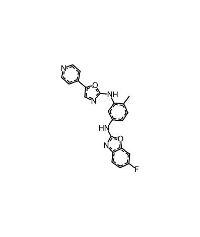 Cc1ccc(Nc2nc3ccc(F)cc3o2)cc1Nc1ncc(-c2ccncc2)o1